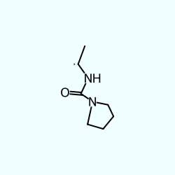 C[CH]NC(=O)N1CCCC1